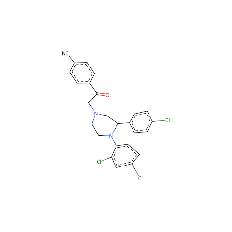 N#Cc1ccc(C(=O)CN2CCN(c3ccc(Cl)cc3Cl)C(c3ccc(Cl)cc3)C2)cc1